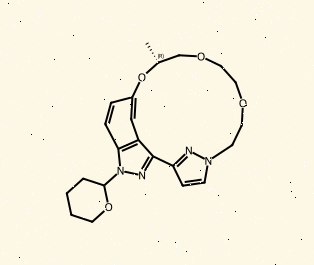 C[C@@H]1COCCOCCn2ccc(n2)-c2nn(C3CCCCO3)c3ccc(cc23)O1